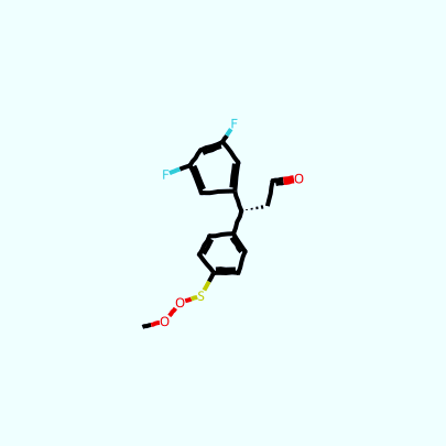 COOSc1ccc([C@@H](CC=O)c2cc(F)cc(F)c2)cc1